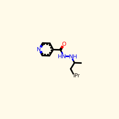 CC(C)CC(C)NNC(=O)c1ccncc1